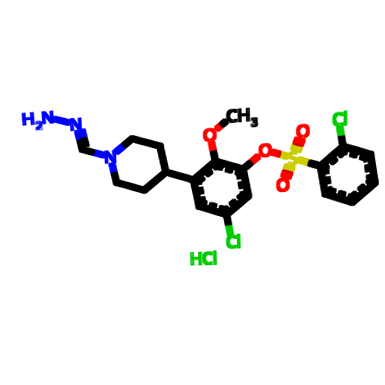 COc1c(OS(=O)(=O)c2ccccc2Cl)cc(Cl)cc1C1CCN(C=NN)CC1.Cl